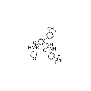 Cc1cccc(-c2ccc(S(=O)(=O)NC3CCOCC3)cc2NC(=O)Nc2cccc(C(F)(F)F)c2)c1